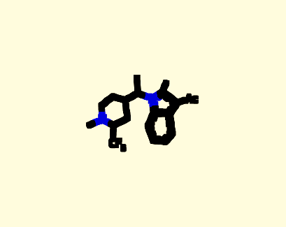 CC(=O)c1c(C)n(C(C)C2CCN(C)C(C(F)(F)F)C2)c2ccccc12